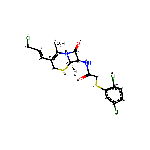 O=C(CSc1cc(Cl)ccc1Cl)N[C@@H]1C(=O)N2C(C(=O)O)=C(C=CCCl)CS[C@H]12